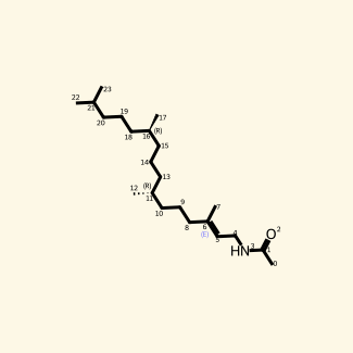 CC(=O)NC/C=C(\C)CCC[C@H](C)CCC[C@H](C)CCCC(C)C